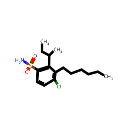 CCCCCCc1c(Cl)ccc(S(N)(=O)=O)c1C(C)CC